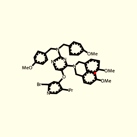 COc1ccc(CN(Cc2ccc(OC)cc2)c2ncc(Oc3cc(Br)ncc3C(C)C)c(N(Cc3ccc(OC)cc3)Cc3ccc(OC)cc3)n2)cc1